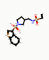 C=CS(=O)(=O)NCC1CCN(S(=O)(=O)c2csc3ccccc23)C1